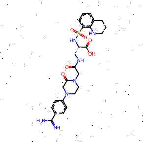 N=C(N)c1ccc(N2CCN(CC(=O)NC[C@H](NS(=O)(=O)c3cccc4c3NCCC4)C(=O)O)C(=O)C2)cc1